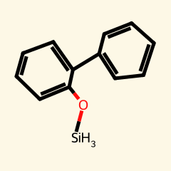 [SiH3]Oc1ccccc1-c1ccccc1